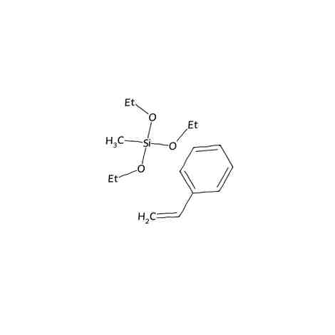 C=Cc1ccccc1.CCO[Si](C)(OCC)OCC